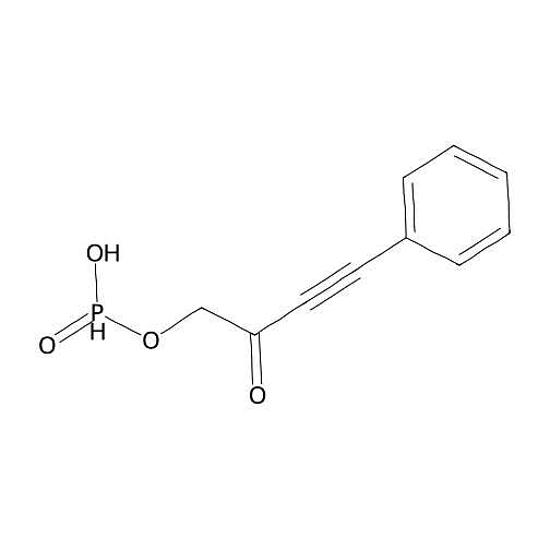 O=C(C#Cc1ccccc1)CO[PH](=O)O